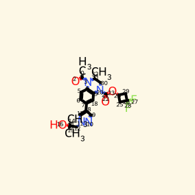 CC(=O)N1c2ccc(-c3cnn(CC(C)(C)O)c3)cc2N(C(=O)OC2CC(F)(F)C2)C[C@@H]1C